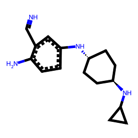 N=Cc1cc(N[C@H]2CC[C@H](NC3CC3)CC2)ccc1N